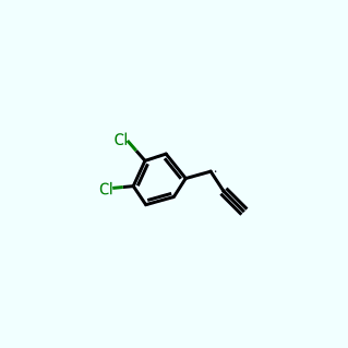 C#C[CH]c1ccc(Cl)c(Cl)c1